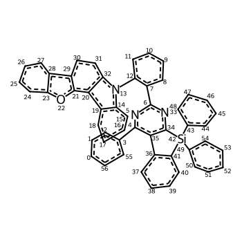 c1ccc(-c2nc(-c3ccccc3-n3c4ccccc4c4c5oc6ccccc6c5ccc43)nc3c2-c2ccccc2[Si]3(c2ccccc2)c2ccccc2)cc1